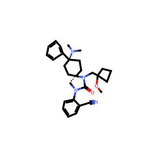 COC1(CN2C(=O)N(c3ccccc3C#N)C[C@]23CC[C@](c2ccccc2)(N(C)C)CC3)CCC1